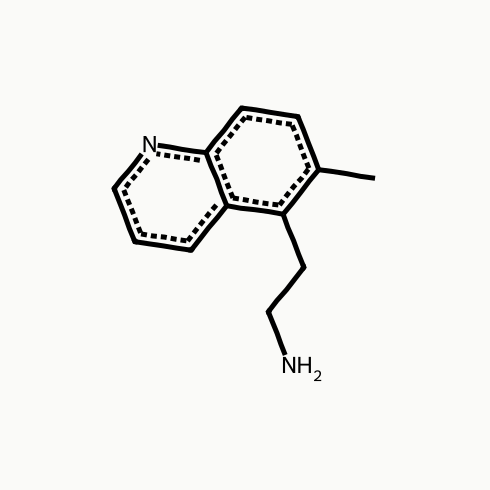 Cc1ccc2ncccc2c1CCN